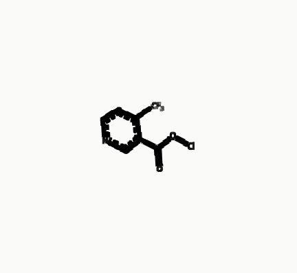 O=C(OCl)c1cnccc1C(F)(F)F